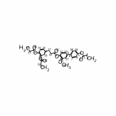 C=CC(=O)Oc1ccc(-c2ccc(OC(=O)CCc3ccc(OC(=O)C=C)c(OC(=O)C=C)c3)c(OC)c2)cc1